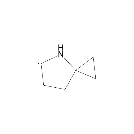 [CH]1CCC2(CC2)N1